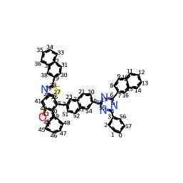 c1ccc(-c2nc(-c3ccc4ccccc4c3)nc(-c3ccc4cc(-c5c6sc(-c7ccc8ccccc8c7)nc6cc6oc7ccccc7c56)ccc4c3)n2)cc1